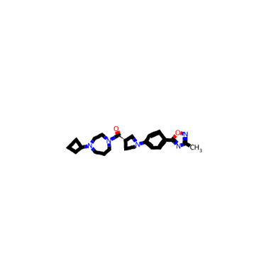 Cc1noc(-c2ccc(N3CC[C@H](C(=O)N4CCCN(C5CCC5)CC4)C3)cc2)n1